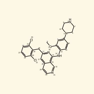 COc1cc(N2CCNCC2)ccc1Nc1nc(Cc2c(Cl)cccc2Cl)cc2ccncc12